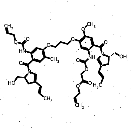 C=CCOC(=O)COC(=O)Nc1cc(OCCCOc2cc(NC(=O)OCC=C)c(C(=O)N3C=C(/C=C/C)C[C@H]3CO)cc2C)c(OC)cc1C(=O)N1C=C(/C=C/C)C[C@H]1CO